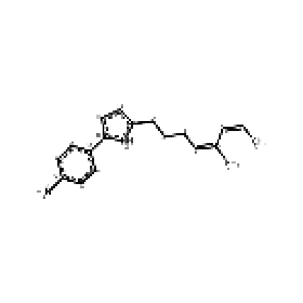 C/C=C\C(N)=C/CCCc1ccc(-c2ccc(N)cc2)[nH]1